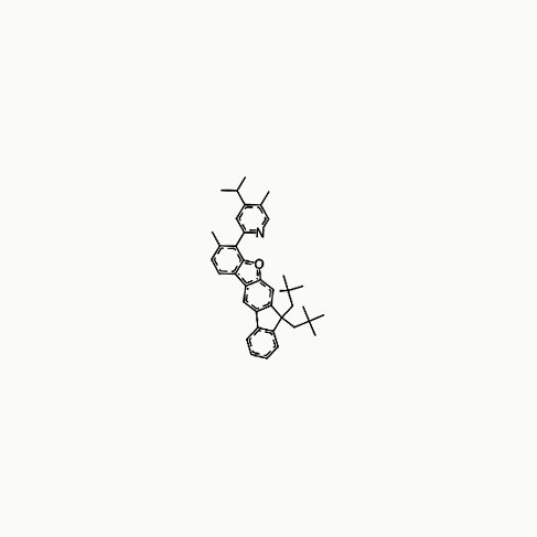 Cc1cnc(-c2c(C)ccc3c2oc2cc4c(cc23)-c2ccccc2C4(CC(C)(C)C)CC(C)(C)C)cc1C(C)C